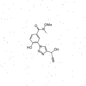 C#CC(O)c1cn(-c2cc(C(=O)N(C)OC)ccc2O)nn1